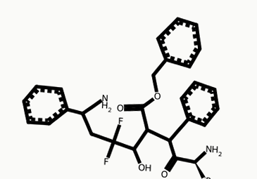 CC(C)[C@H](N)C(=O)C(c1ccccc1)C(C(=O)OCc1ccccc1)C(O)C(F)(F)CC(N)c1ccccc1